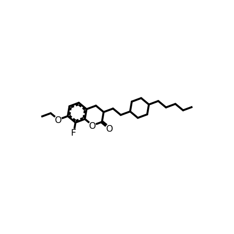 CCCCCC1CCC(CCC2Cc3ccc(OCC)c(F)c3OC2=O)CC1